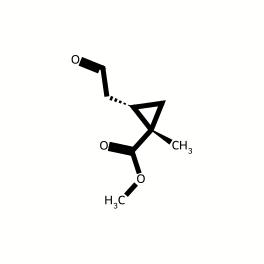 COC(=O)[C@@]1(C)C[C@H]1CC=O